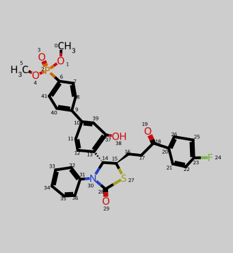 COP(=O)(OC)c1ccc(-c2ccc([C@@H]3[C@@H](CCC(=O)c4ccc(F)cc4)SC(=O)N3c3ccccc3)c(O)c2)cc1